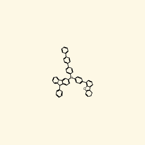 C1=Cc2oc3c(-c4ccc(N(c5ccc(-c6ccc(-c7ccccc7)cc6)cc5)c5ccc6c(c5)-c5ccccc5C6c5ccccc5)cc4)cccc3c2CC1